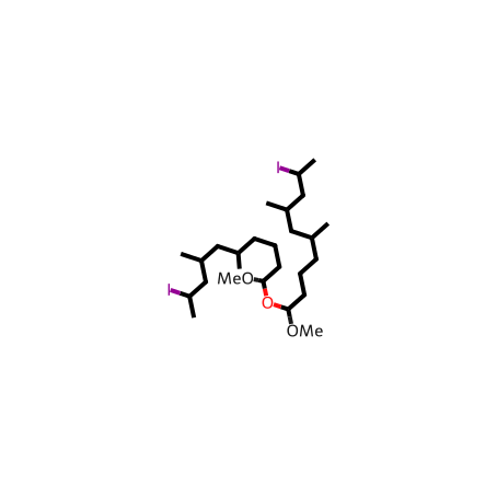 COC(CCCC(C)CC(C)CC(C)I)OC(CCCC(C)CC(C)CC(C)I)OC